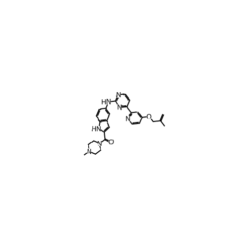 C=C(C)COc1ccnc(-c2ccnc(Nc3ccc4[nH]c(C(=O)N5CCN(C)CC5)cc4c3)n2)c1